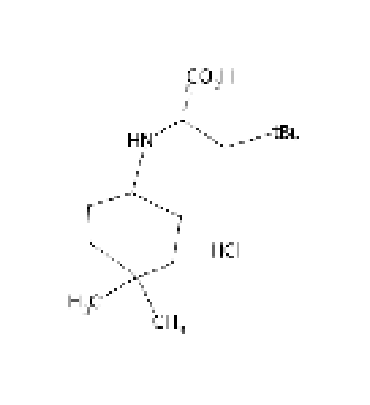 CC(C)(C)C[C@H](NC1CCC(C)(C)CC1)C(=O)O.Cl